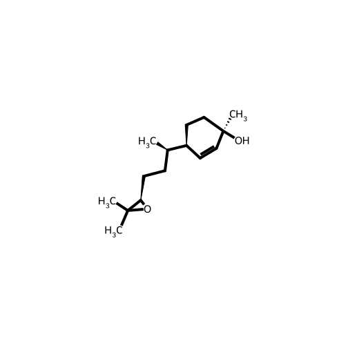 C[C@H](CC[C@H]1OC1(C)C)[C@@H]1C=C[C@](C)(O)CC1